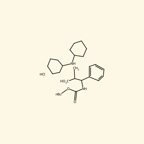 C1CCC(NC2CCCCC2)CC1.CCCCOC(=O)NC(c1ccccc1)C(C)C(=O)O.Cl